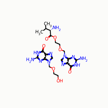 CC(C)[C@H](N)C(=O)OCCOCn1cnc2c(=O)[nH]c(N)nc21.Nc1nc2c(ncn2COCCO)c(=O)[nH]1